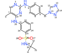 Cc1cnc(Nc2ccc(Cn3cncn3)cc2)nc1Nc1cccc(S(=O)(=O)NC(C)(C)C)c1